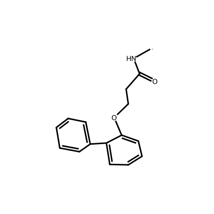 [CH2]NC(=O)CCOc1ccccc1-c1ccccc1